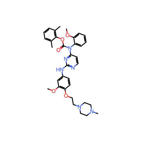 COc1cc(Nc2nccc(N(C(=O)Oc3c(C)cccc3C)c3ccccc3OC)n2)ccc1OCCN1CCN(C)CC1